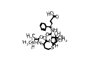 CN[C@@H](C)C(=O)N[C@H]1CCS[C@H]2CC(C)(C)[C@@H](C(=O)N[C@H](CCC(=O)O)c3ccccc3)N2C1=O.Cl